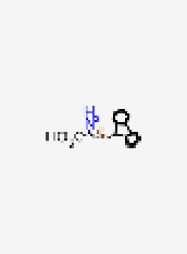 N[C@@H](CSCC1c2ccccc2-c2ccccc21)C(=O)O